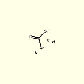 O=C(O)O.[H+].[K+].[K+]